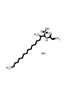 C=CC(=O)NC(C(C)CCCCCCCCCCCCCC)S(=O)(=O)O.[KH]